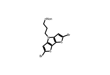 CCCCCCCCCCCCn1c2cc(Br)sc2c2sc(Br)cc21